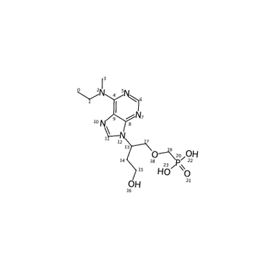 CCN(C)c1ncnc2c1ncn2C(CCO)COCP(=O)(O)O